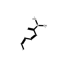 C=C(/C=C\C=C/C)B(O)O